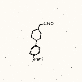 CCCCCc1ccc(C2CCC(CC=O)CC2)cc1